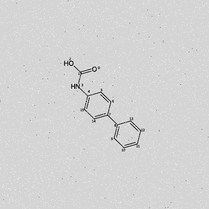 O=C(O)Nc1ccc(-c2ccccc2)cc1